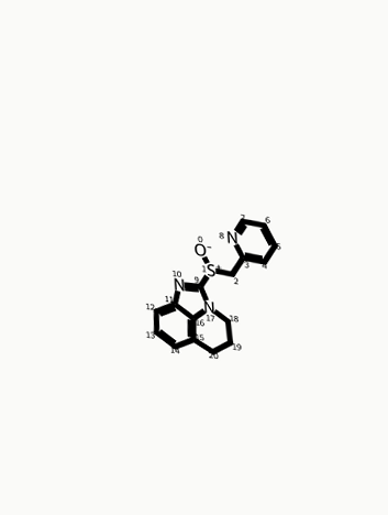 [O-][S+](Cc1ccccn1)c1nc2cccc3c2n1CCC3